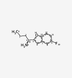 CCC[C@H](N)c1cc2cc(F)ccc2o1